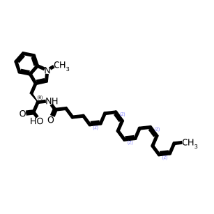 CC/C=C\C/C=C\C/C=C\C/C=C\C/C=C\CCCC(=O)N[C@H](Cc1cn(C)c2ccccc12)C(=O)O